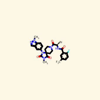 CC(C)[C@@H](NC(=O)c1cc(C(F)(F)F)ccc1F)C(=O)N1CCC2(CC1)C(=O)N(C)C(=O)N2c1ccc2c(cnn2C)c1